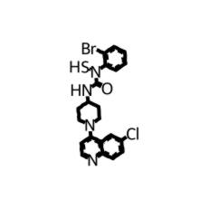 O=C(NC1CCN(c2ccnc3ccc(Cl)cc23)CC1)N(S)c1ccccc1Br